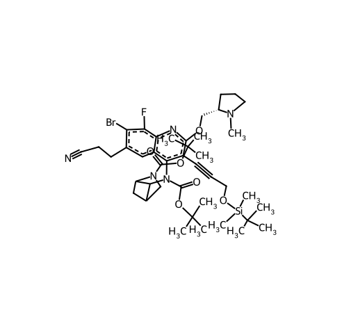 CN1CCC[C@H]1COc1nc2c(F)c(Br)c(CCC#N)cc2c(N(C(=O)OC(C)(C)C)C2C3CC2N(C(=O)OC(C)(C)C)C3)c1C#CCO[Si](C)(C)C(C)(C)C